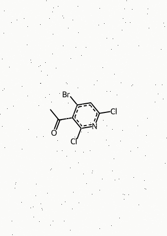 CC(=O)c1c(Br)cc(Cl)nc1Cl